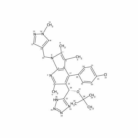 Cc1nc2c(c(C)c(C)n2Cc2cnn(C)c2)c(-c2ccc(Cl)cc2)c1[C@H](OC(C)(C)C)c1nnn[nH]1